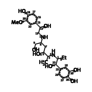 CCC(NC(C)C(O)CC(CO)NCC(O)c1ccc(O)c(OC)c1)C(O)c1ccc(O)c(O)c1